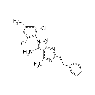 Nc1c2c(C(F)(F)F)nc(SCc3ccccc3)nc2nn1-c1c(Cl)cc(C(F)(F)F)cc1Cl